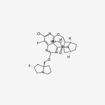 CC(C)(C)OC(=O)N1[C@H]2CC[C@@H]1[C@@H]1COc3nc(Cl)c(F)c4nc(OC[C@@]56CCCN5C[C@H](F)C6)nc(c34)N1C2